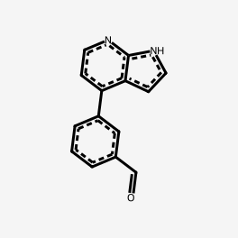 O=Cc1cccc(-c2ccnc3[nH]ccc23)c1